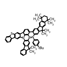 CC(C)(C)c1ccc(N2B3c4cc5c(cc4-n4c6cc7c(cc6c6ccc(c3c64)-c3cc4c(cc32)C(C)(C)c2cc3c(cc2-4)C(C)(C)CCC3(C)C)sc2ccccc27)-c2ccccc2C5(C)C)cc1